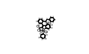 N[C@H](Cc1ccccc1)c1ccccc1-c1c(C(=O)O)n(S(=O)(=O)c2ccccc2)c2ccccc12